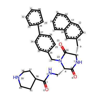 O=C(NC[C@H]1C(=O)N[C@@H](Cc2ccc3ccccc3c2)C(=O)N1Cc1ccc(-c2ccccc2)cc1)C1CCNCC1